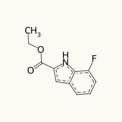 CCOC(=O)c1cc2cccc(F)c2[nH]1